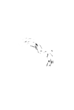 CCOc1cn2nc(C)cc2cc1C(=O)Nc1ccc(N2CCN(C(=O)O)C(C)(C)C2C(C)(C)C)nn1